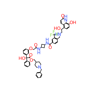 O=C(COc1cccc([C@](O)(C(=O)OCC2CCN(Cc3ccccc3)CC2)c2ccccc2)c1)NC1CC(NC(=O)c2ccc(CNC[C@H](O)c3ccc(O)c4[nH]c(=O)ccc34)c(C(F)(F)F)c2)C1